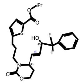 CC(C)OC(=O)c1ccc(CCCN2C(=O)OCC[C@@H]2/C=C/[C@@H](O)C(F)(F)c2ccccc2)s1